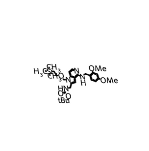 COc1ccc(CNc2nccc3c2cc(CNC(=O)OC(C)(C)C)n3COCC[Si](C)(C)C)c(OC)c1